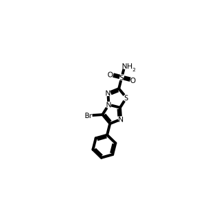 NS(=O)(=O)c1nn2c(Br)c(-c3ccccc3)nc2s1